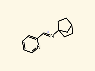 C(=N\C12CCC(CC1)C2)/c1ccccn1